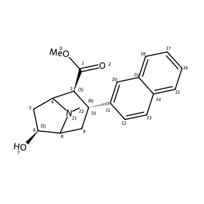 COC(=O)[C@@H]1C2C[C@H](O)C(C[C@H]1c1ccc3ccccc3c1)N2C